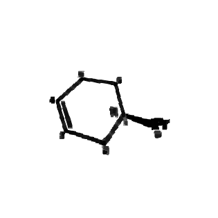 CC(C)[C@H]1CC=CCC1